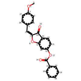 COc1ccc(C=C2Oc3cc(OC(=O)c4ccccc4)ccc3C2=O)cc1